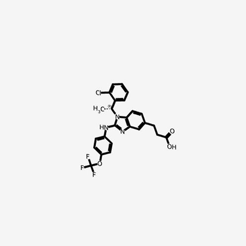 C[C@H](c1ccccc1Cl)n1c(Nc2ccc(OC(F)(F)F)cc2)nc2cc(CCC(=O)O)ccc21